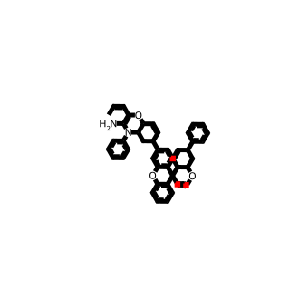 C/C=C\C1=C(N)N(c2ccccc2)C2CC(c3ccc4c(c3)Oc3ccccc3C43c4ccccc4OC4CC(c5ccccc5)C=CC43)C=CC2O1